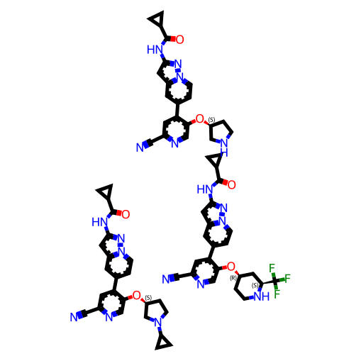 N#Cc1cc(-c2ccn3nc(NC(=O)C4CC4)cc3c2)c(O[C@@H]2CCN[C@H](C(F)(F)F)C2)cn1.N#Cc1cc(-c2ccn3nc(NC(=O)C4CC4)cc3c2)c(O[C@H]2CCN(C3CC3)C2)cn1.N#Cc1cc(-c2ccn3nc(NC(=O)C4CC4)cc3c2)c(O[C@H]2CCNC2)cn1